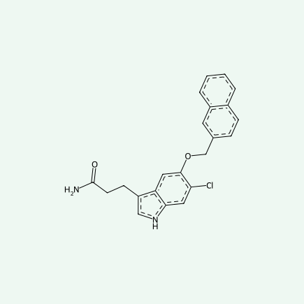 NC(=O)CCc1c[nH]c2cc(Cl)c(OCc3ccc4ccccc4c3)cc12